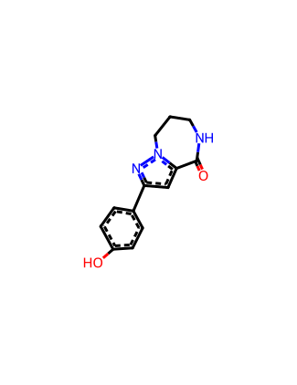 O=C1NCCCn2nc(-c3ccc(O)cc3)cc21